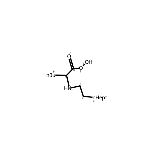 CCCCCCCCCNC(CCCC)C(=O)OO